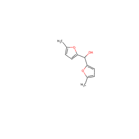 Cc1ccc(C(O)c2ccc(C)o2)o1